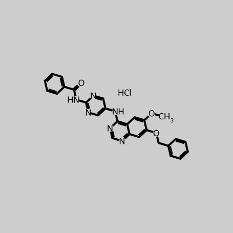 COc1cc2c(Nc3cnc(NC(=O)c4ccccc4)nc3)ncnc2cc1OCc1ccccc1.Cl